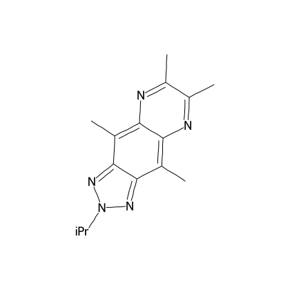 Cc1nc2c(C)c3nn(C(C)C)nc3c(C)c2nc1C